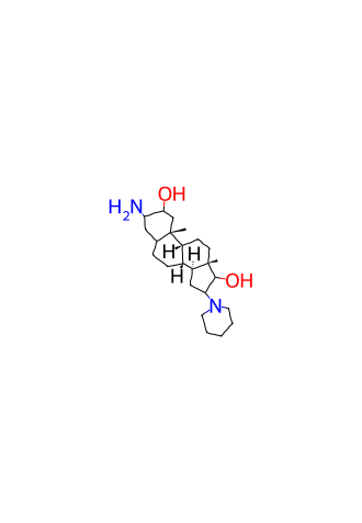 C[C@]12CC(O)C(N)CC1CC[C@@H]1[C@H]2CC[C@]2(C)C(O)C(N3CCCCC3)C[C@@H]12